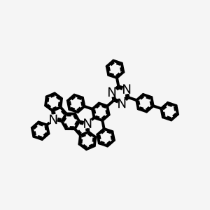 c1ccc(-c2ccc(-c3nc(-c4ccccc4)nc(-c4cc(-c5ccccc5)c(-n5c6ccccc6c6cc7c(cc65)c5ccccc5n7-c5ccccc5)c(-c5ccccc5)c4)n3)cc2)cc1